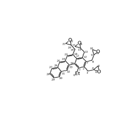 CCc1c(CC2CO2)c(CC2CO2)c(CC2CO2)c2c(CC3CO3)cc3cc4ccccc4cc3c12